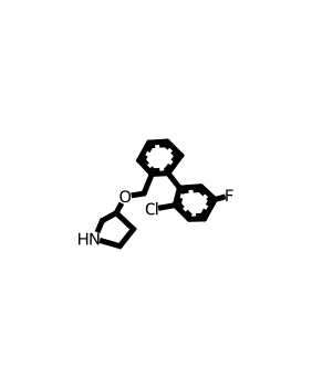 Fc1ccc(Cl)c(-c2ccccc2COC2CCNC2)c1